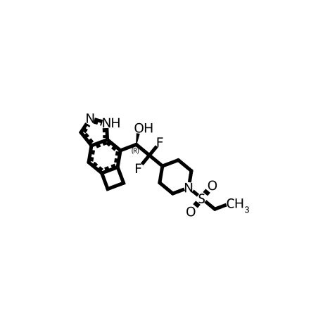 CCS(=O)(=O)N1CCC(C(F)(F)[C@H](O)c2c3c(cc4cn[nH]c24)CC3)CC1